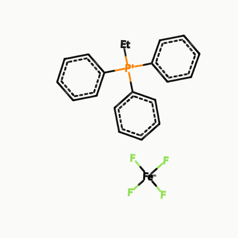 CC[P+](c1ccccc1)(c1ccccc1)c1ccccc1.[F][Fe-]([F])([F])[F]